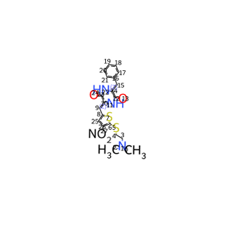 CN(C)CCSc1sc(/C=c2\[nH]c(=O)/c(=C/c3ccccc3)[nH]c2=O)cc1[N+](=O)[O-]